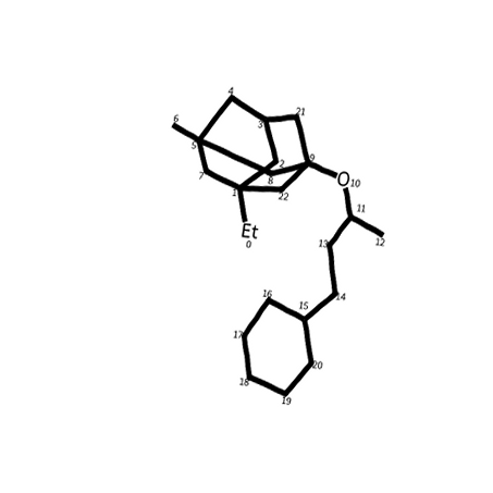 CCC12CC3CC(C)(C1)CC(OC(C)CCC1CCCCC1)(C3)C2